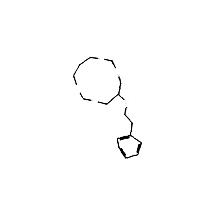 c1ccc(CC[P]C2CCCCCCCCCCC2)cc1